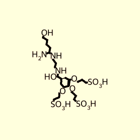 NC(CCCCO)NCCCN[C@H](O)[C@H]1CC(OCCCS(=O)(=O)O)=C(OCCCS(=O)(=O)O)C(OCCCS(=O)(=O)O)C1